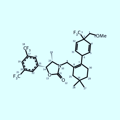 COCC1(C(F)(F)F)C=CC(C2=C(CN3C(=O)O[C@H](c4cc(C(F)(F)F)cc(C(F)(F)F)c4)[C@@H]3C)CC(C)(C)CC2)C=C1